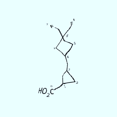 O=C(O)C1CC1C1CC(F)(F)C1